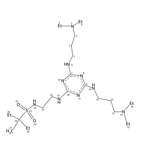 CCN(CC)CCCNc1nc(NCCCN(CC)CC)nc(NCCNS(=O)(=O)C(C)(CC)CC)n1